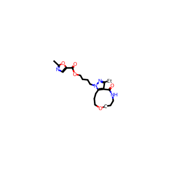 CCc1nn(CCCCOC(=O)c2cnc(C)o2)c2c1C(=O)NCCCOCCC2